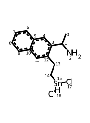 CC(N)c1cc2ccccc2cc1C[CH2][SnH]([Cl])[Cl]